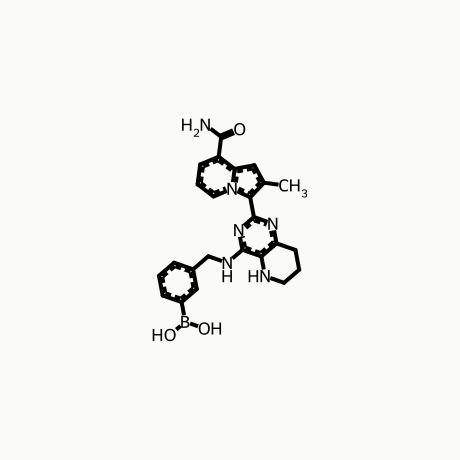 Cc1cc2c(C(N)=O)cccn2c1-c1nc2c(c(NCc3cccc(B(O)O)c3)n1)NCCC2